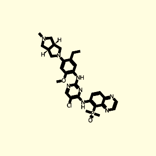 CCc1cc(Nc2ncc(Cl)c(Nc3ccc4nccnc4c3P(C)(C)=O)n2)c(OC)cc1N1C[C@H]2CN(C)C[C@H]2C1